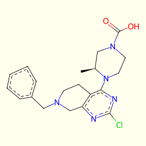 C[C@H]1CN(C(=O)O)CCN1c1nc(Cl)nc2c1CCN(Cc1ccccc1)C2